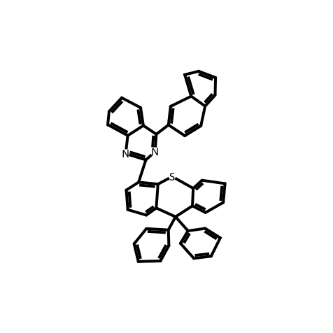 c1ccc(C2(c3ccccc3)c3ccccc3Sc3c(-c4nc(-c5ccc6ccccc6c5)c5ccccc5n4)cccc32)cc1